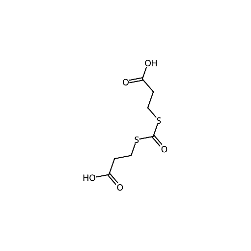 O=C(O)CCSC(=O)SCCC(=O)O